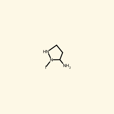 NC1CCNN1I